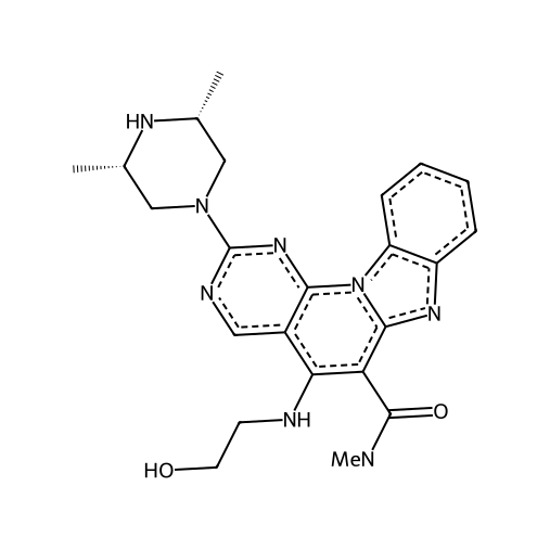 CNC(=O)c1c(NCCO)c2cnc(N3C[C@@H](C)N[C@@H](C)C3)nc2n2c1nc1ccccc12